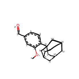 COc1cc([C]=O)ccc1C12CC3CC(CC(C3)C1)C2